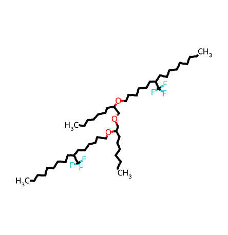 CCCCCCCCCC(CCCCCCOC(CCCCCCC)COCC(CCCCCCC)OCCCCCCC(CCCCCCCCC)C(F)(F)F)C(F)(F)F